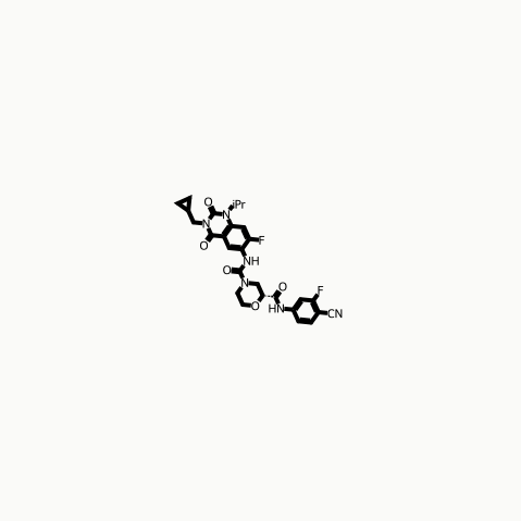 CC(C)n1c(=O)n(CC2CC2)c(=O)c2cc(NC(=O)N3CCO[C@@H](C(=O)Nc4ccc(C#N)c(F)c4)C3)c(F)cc21